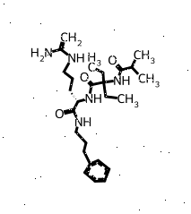 C=C(N)NCCC[C@H](NC(=O)C(CC)(CC)NC(=O)C(C)C)C(=O)NCCCc1ccccc1